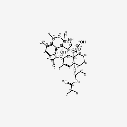 CC(=O)OC1C(C)=C[C@@H]2[C@@H](C(C)COC(=O)C(C)C)CC[C@@H](C)[C@]2(O)C1[C@H]1[C@@H](C(=O)O)N[C@@H]2ON(C)c3c(Cl)cccc3[C@@]21O